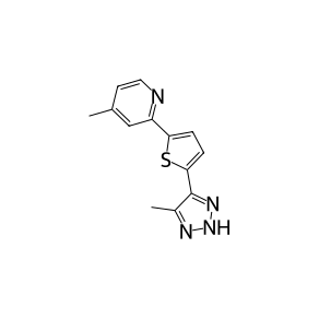 Cc1ccnc(-c2ccc(-c3n[nH]nc3C)s2)c1